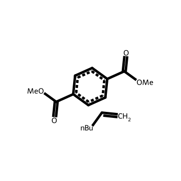 C=CCCCC.COC(=O)c1ccc(C(=O)OC)cc1